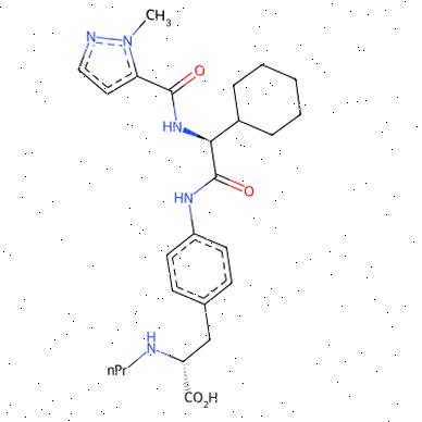 CCCN[C@H](Cc1ccc(NC(=O)[C@@H](NC(=O)c2ccnn2C)C2CCCCC2)cc1)C(=O)O